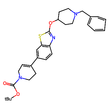 CC(C)(C)OC(=O)N1CC=C(c2ccc3nc(OC4CCN(Cc5ccccc5)CC4)sc3c2)CC1